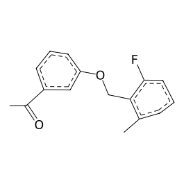 CC(=O)c1cccc(OCc2c(C)cccc2F)c1